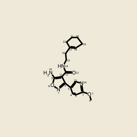 COc1ccc(-c2noc(N)c2C(=O)NCCC2=CCCCC2)cn1